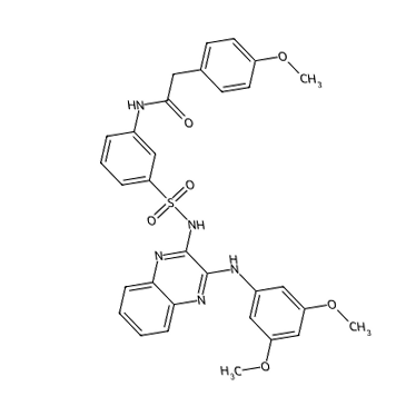 COc1ccc(CC(=O)Nc2cccc(S(=O)(=O)Nc3nc4ccccc4nc3Nc3cc(OC)cc(OC)c3)c2)cc1